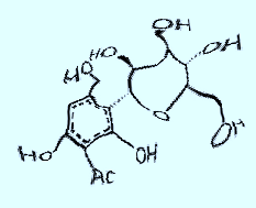 CC(=O)c1c(O)cc(O)c([C@H]2O[C@H](CO)[C@@H](O)[C@H](O)[C@@H]2O)c1O